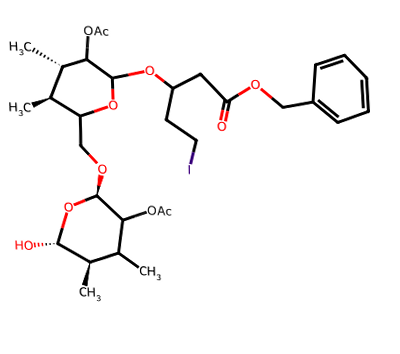 CC(=O)OC1C(C)[C@@H](C)[C@H](O)O[C@H]1OCC1OC(OC(CCI)CC(=O)OCc2ccccc2)C(OC(C)=O)[C@@H](C)[C@@H]1C